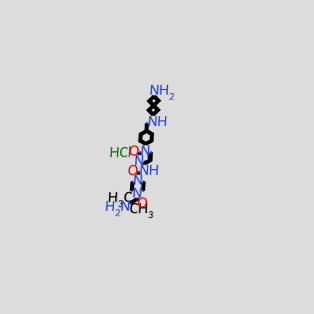 CC(C)(N)C(=O)N1CCN(C(=O)Nc2ccn(C3CCC(CNC4CC5(CC(N)C5)C4)CC3)c(=O)n2)CC1.Cl